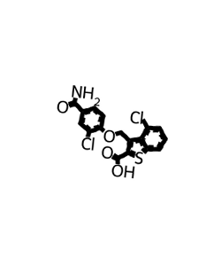 NC(=O)c1ccc(OCc2c(C(=O)O)sc3cccc(Cl)c23)c(Cl)c1